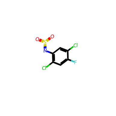 O=S(=O)=Nc1cc(Cl)c(F)cc1Cl